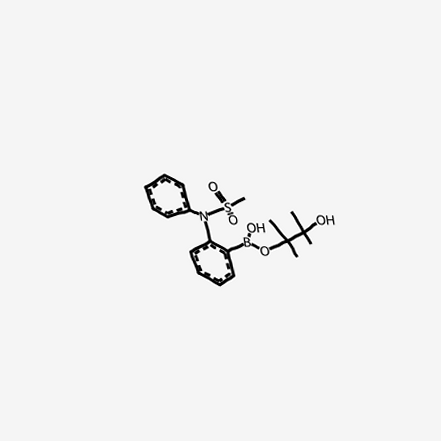 CC(C)(O)C(C)(C)OB(O)c1ccccc1N(c1ccccc1)S(C)(=O)=O